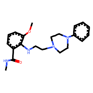 CNC(=O)c1cccc(OC)c1NCCN1CCN(c2ccccc2)CC1